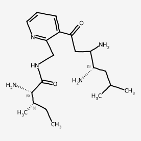 CC[C@H](C)[C@H](N)C(=O)NCc1ncccc1C(=O)CC(N)[C@@H](N)CC(C)C